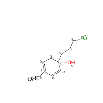 O=CC1=CCC(O)(CCCCl)C=C1